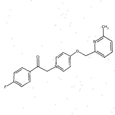 Cc1cccc(COc2cc[n+](CC(=O)c3ccc(F)cc3)cc2)n1